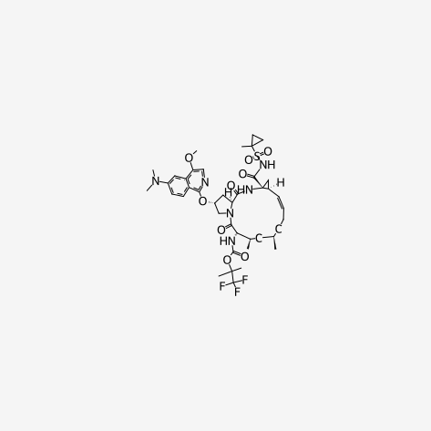 COc1cnc(O[C@@H]2C[C@H]3C(=O)N[C@]4(C(=O)NS(=O)(=O)C5(C)CC5)C[C@H]4/C=C\CC[C@@H](C)C[C@@H](C)[C@H](NC(=O)OC(C)(C)C(F)(F)F)C(=O)N3C2)c2ccc(N(C)C)cc12